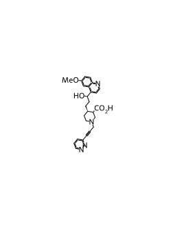 COc1ccc2nccc([C@H](O)CC[C@@H]3CCN(CC#Cc4cccnn4)C[C@@H]3C(=O)O)c2c1